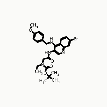 CCN(CC(=O)Nc1cnc2cc(Br)ccc2c1NCc1ccc(OC)cc1)C(=O)OC(C)(C)C